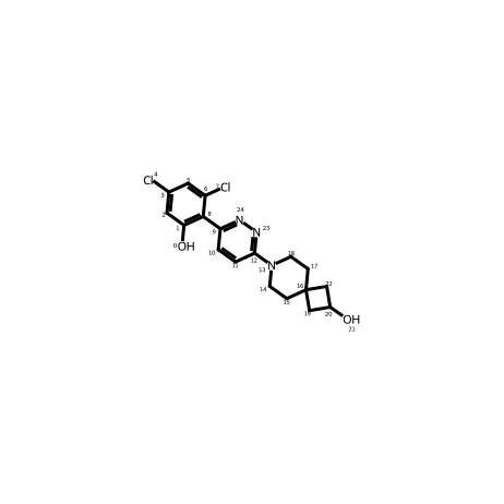 Oc1cc(Cl)cc(Cl)c1-c1ccc(N2CCC3(CC2)CC(O)C3)nn1